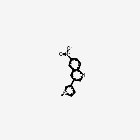 Cn1ccc(-c2cnc3ccc([N+](=O)[O-])cc3c2)c1